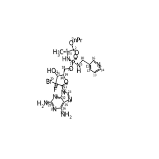 CCCOC(=O)[C@H](C)NP(=O)(NCc1cccnc1)OC[C@H]1O[C@@H](n2cnc3c(N)nc(N)nc32)[C@@](F)(Br)C1O